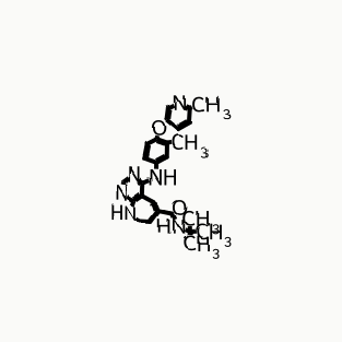 Cc1ccc(Oc2ccc(Nc3ncnc4c3C=C(C(=O)NC(C)(C)C)CCN4)cc2C)cn1